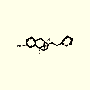 C[C@H]1[C@H]2Cc3ccc(O)cc3[C@]1(C)CCN2CCc1ccccc1